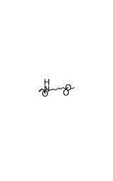 C=CC(=O)NCCCCCCC(=O)OCC